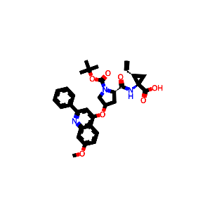 C=C[C@@H]1C[C@]1(NC(=O)[C@@H]1CC(Oc2cc(-c3ccccc3)nc3cc(OC)ccc23)CN1C(=O)OC(C)(C)C)C(=O)O